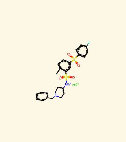 Cc1ccc(S(=O)(=O)c2ccc(F)cc2)cc1S(=O)(=O)NC1CCN(Cc2ccccc2)CC1.Cl